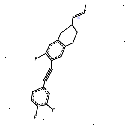 C/C=C/C1CCc2cc(C#Cc3ccc(F)c(F)c3)c(F)cc2C1